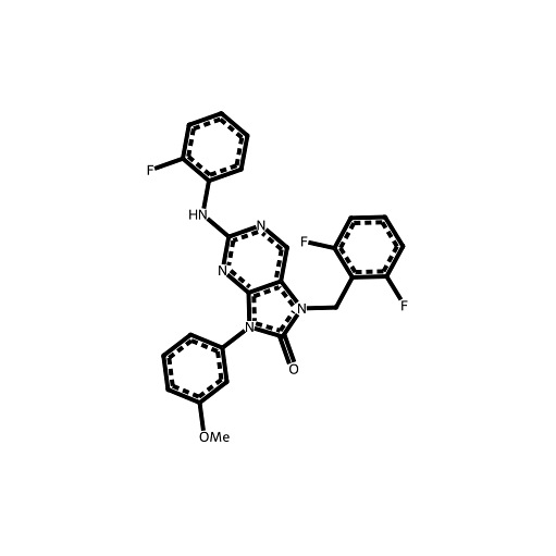 COc1cccc(-n2c(=O)n(Cc3c(F)cccc3F)c3cnc(Nc4ccccc4F)nc32)c1